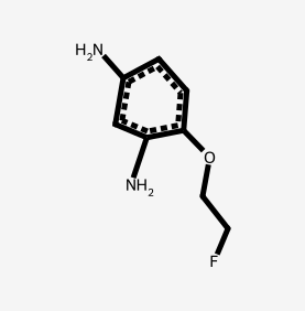 Nc1ccc(OCCF)c(N)c1